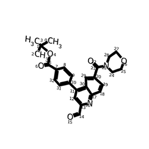 CC(C)(C)OC(=O)c1ccc(-c2cc(C=O)nc3ccc(C(=O)N4CCOCC4)cc23)cc1